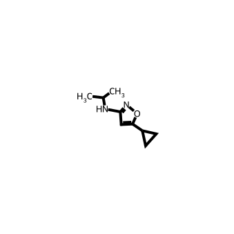 CC(C)Nc1cc(C2CC2)on1